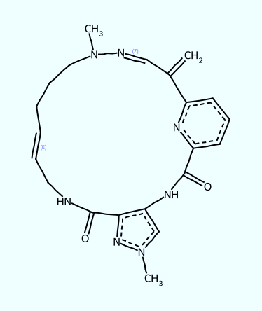 C=C1/C=N\N(C)CCC/C=C/CNC(=O)c2nn(C)cc2NC(=O)c2cccc1n2